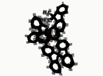 CC1(C)c2ccccc2-c2ccc(N(c3ccc4c(c3)C3(c5ccccc5-c5ccc(N(c6ccccc6)c6ccccc6)cc53)c3ccccc3-4)c3cccc4c3sc3ccccc34)cc21